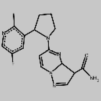 Cc1ncc(F)cc1C1CCCN1C1=NC2C(C(N)=O)C=NN2C=C1